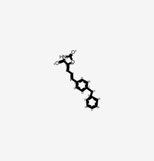 O=C1NC(=O)C(=CC=Cc2ccc(Cc3ccccc3)cc2)O1